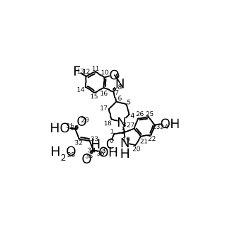 CCC1(N2CCC(c3noc4cc(F)ccc34)CC2)NCc2cc(O)ccc21.O.O=C(O)C=CC(=O)O